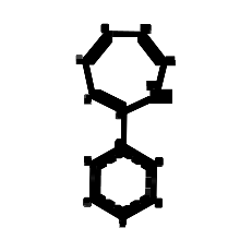 C1=CC=C(c2ccccc2)NC=C1